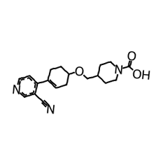 N#Cc1cnccc1C1=CCC(OCC2CCN(C(=O)O)CC2)CC1